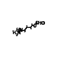 NNCCCCOC=O